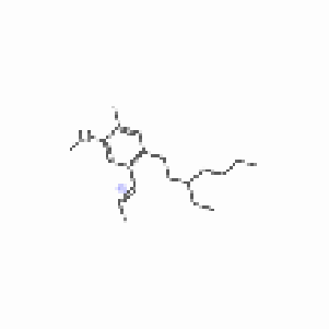 C/C=C/c1cc(OC)c(C)cc1CCC(CC)CCCC